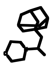 CC(CC12CC3CC(CC(C3)C1)C2)N1CCOCC1